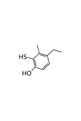 CCc1ccc(O)c(S)c1C